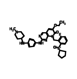 CCOc1cc2cnc(Nc3ccc(NC4CCN(C)CC4)cc3)nc2n(Cc2c(F)cccc2[S+]([O-])C2CCCC2)c1=O